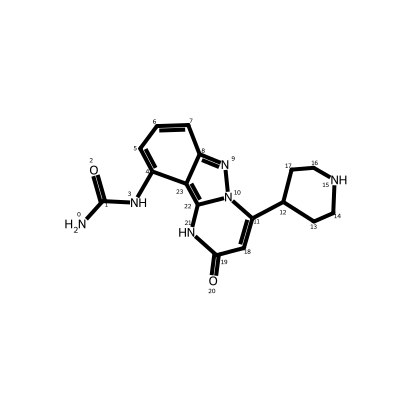 NC(=O)Nc1cccc2nn3c(C4CCNCC4)cc(=O)[nH]c3c12